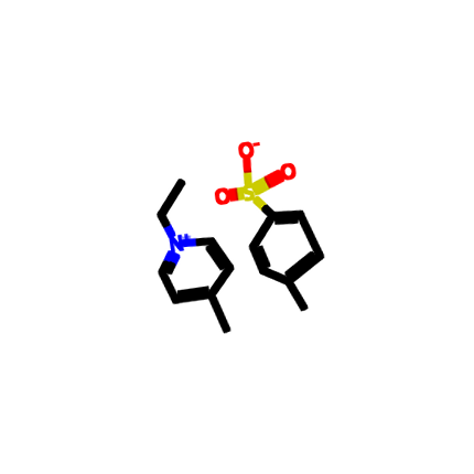 CC[n+]1ccc(C)cc1.Cc1ccc(S(=O)(=O)[O-])cc1